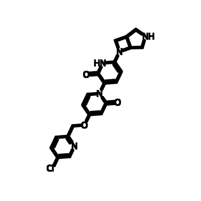 O=c1[nH]c(N2CC3CNCC32)ccc1-n1ccc(OCc2ccc(Cl)cn2)cc1=O